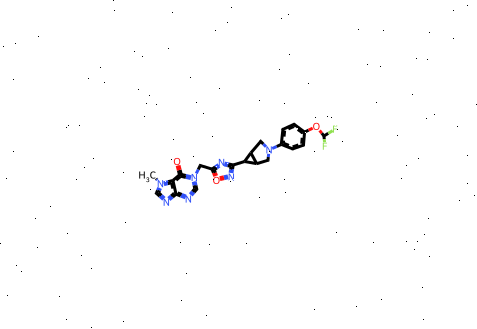 Cn1cnc2ncn(Cc3nc(C4C5CN(c6ccc(OC(F)F)cc6)CC54)no3)c(=O)c21